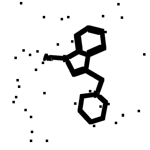 CC(=O)n1cc(CN2CCCCC2)c2ccccc21